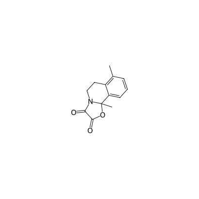 Cc1cccc2c1CCN1C(=O)C(=O)OC21C